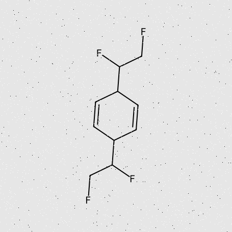 FCC(F)C1C=CC(C(F)CF)C=C1